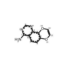 Nc1ncnc2c3c(ccc12)OC=CO3